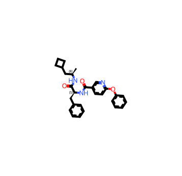 C[C@H](CC1CCC1)NC(=O)[C@H](Cc1ccccc1)NC(=O)c1ccc(Oc2ccccc2)nc1